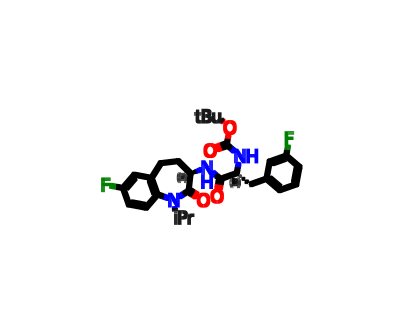 CC(C)N1C(=O)[C@H](NC(=O)[C@@H](Cc2cccc(F)c2)NC(=O)OC(C)(C)C)CCc2cc(F)ccc21